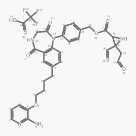 Nc1ncccc1OCCCCc1ccc2c(c1)C(=O)NCC(=O)N2c1ccc(COC(=O)C2NC2(C=O)CC=O)cc1.O=C(O)C(F)(F)F